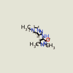 CCN1CCn2nc(Nc3cc(C)nn(C)c3=O)cc2C1